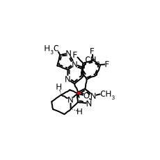 Cc1cc2nc(C(=O)N3[C@H]4CCC[C@@H]3c3nn(C)c(-c5cc(F)c(F)c(F)c5)c3C4)cc(C)n2n1